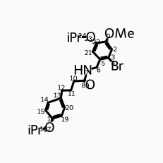 COc1cc(Br)c(CNC(=O)CCCc2ccc(OC(C)C)cc2)cc1OC(C)C